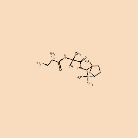 CC(C)(NC(=O)[C@@H](N)CC(=O)O)C(=O)NC1C2(C)CCC(C2)C1(C)C